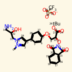 C[n+]1cc(-c2ccc(OCC(ON3C(=O)c4ccccc4C3=O)C(=O)OC(C)(C)C)cc2)cn1CC(O)CN.O=S(=O)([O-])C(F)(F)F